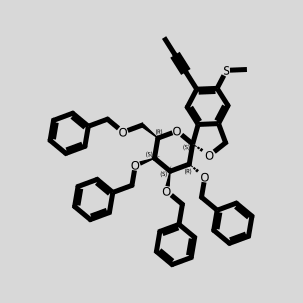 CC#Cc1cc2c(cc1SC)CO[C@]21O[C@H](COCc2ccccc2)[C@H](OCc2ccccc2)[C@H](OCc2ccccc2)[C@H]1OCc1ccccc1